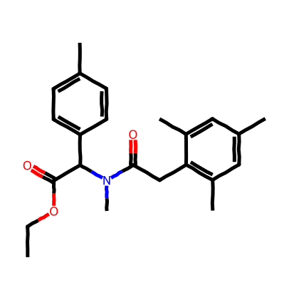 CCOC(=O)C(c1ccc(C)cc1)N(C)C(=O)Cc1c(C)cc(C)cc1C